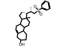 C[C@H](CS(=O)(=O)c1ccccc1)[C@H]1CCC2C3CC=C4CC(O)CCC4C3CCC21C